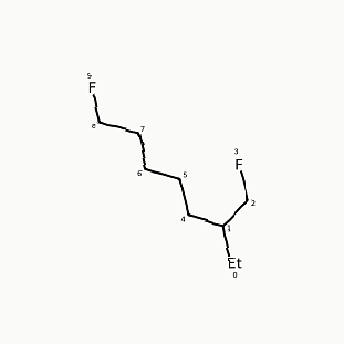 CCC(CF)CCCCCF